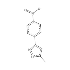 Cc1cc(-c2ccc([N+](=O)[O-])cc2)no1